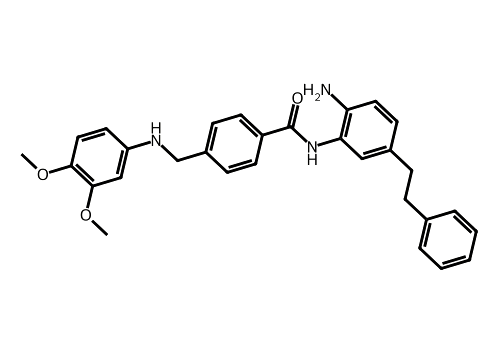 COc1ccc(NCc2ccc(C(=O)Nc3cc(CCc4ccccc4)ccc3N)cc2)cc1OC